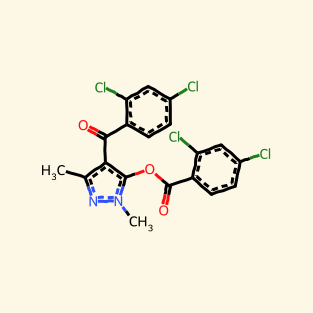 Cc1nn(C)c(OC(=O)c2ccc(Cl)cc2Cl)c1C(=O)c1ccc(Cl)cc1Cl